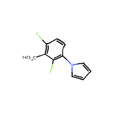 O=C(O)c1c(F)ccc(-n2cccc2)c1F